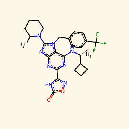 CC1CCCCN1c1nc2nc(-c3noc(=O)[nH]3)nc(N[C@H](C)C3CCC3)c2n1Cc1ccc(C(F)(F)F)cc1